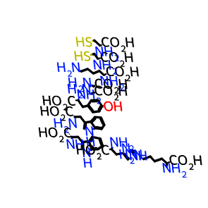 NCC(=O)O.NCC(=O)O.NCCCC[C@H](N)C(=O)O.NCCCC[C@H](N)C(=O)O.N[C@@H](CS)C(=O)O.N[C@@H](CS)C(=O)O.N[C@@H](Cc1c[nH]c2ccccc12)C(=O)O.N[C@@H](Cc1c[nH]c2ccccc12)C(=O)O.N[C@@H](Cc1c[nH]cn1)C(=O)O.N[C@@H](Cc1ccc(O)cc1)C(=O)O